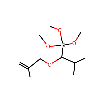 C=C(C)COC(C(C)C)[Si](OC)(OC)OC